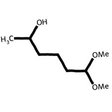 COC(CCCC(C)O)OC